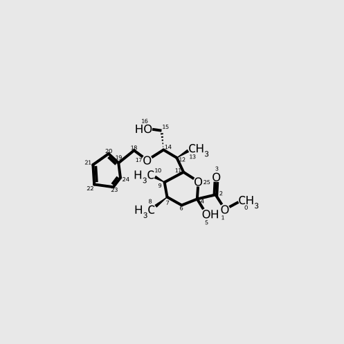 COC(=O)C1(O)C[C@@H](C)[C@@H](C)C([C@H](C)[C@@H](CO)OCc2ccccc2)O1